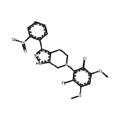 COc1cc(OC)c(Cl)c(N2CCc3c(-c4ccccc4[N+](=O)[O-])n[nH]c3C2)c1Cl